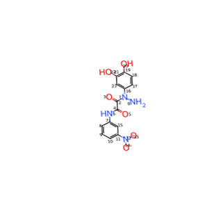 NN(C(=O)C(=O)Nc1cccc([N+](=O)[O-])c1)c1ccc(O)c(O)c1